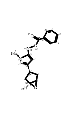 CC(C)(C)n1nc([C@H]2CC3O[C@H]3C2)cc1NOC(=O)c1ccccc1